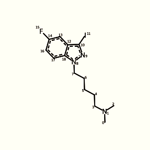 CN(C)CCCCCn1nc(I)c2cc(F)ccc21